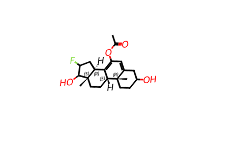 CC(=O)OC1=C2[C@@H](CC[C@]3(C)C(O)C(F)C[C@@H]23)[C@@]2(C)CCC(O)CC2=C1